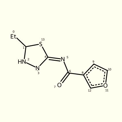 CCC1N[N]C(=NC(=O)c2ccoc2)S1